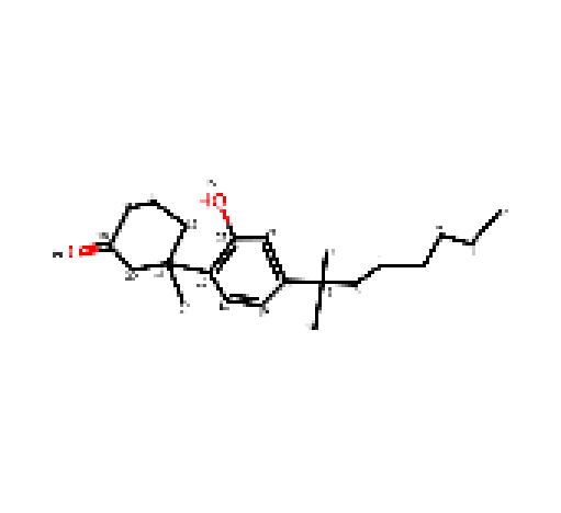 CCCCCCC(C)(C)c1ccc(C2(C)CCCC(=O)C2)c(O)c1